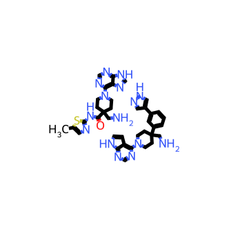 Cc1cnc(NC(=O)C2(CN)CCN(c3ncnc4[nH]cnc34)CC2)s1.NCC1(c2cccc(-c3cn[nH]c3)c2)CCN(c2ncnc3[nH]ccc23)CC1